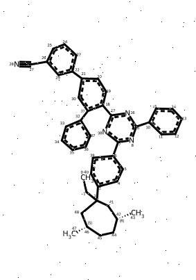 CCC1(c2ccc(-c3nc(-c4ccccc4)nc(-c4ccc(-c5cccc(C#N)c5)cc4-c4ccccc4)n3)cc2)C[C@H](C)CC[C@H](C)C1